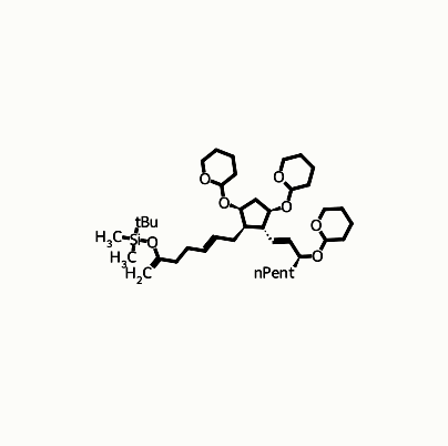 C=C(CCC=CC[C@@H]1[C@@H](C=C[C@H](CCCCC)OC2CCCCO2)[C@H](OC2CCCCO2)C[C@@H]1OC1CCCCO1)O[Si](C)(C)C(C)(C)C